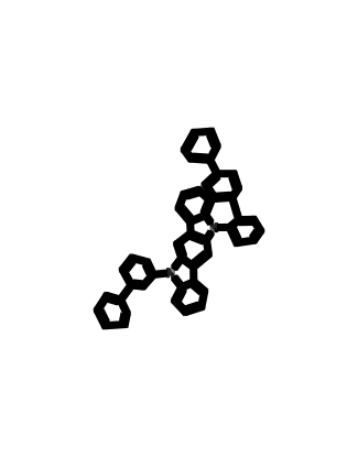 c1ccc(-c2ccc(-c3ccccc3-n3c4ccccc4c4cc5c(cc43)c3ccccc3n5-c3cccc(-c4ccccc4)c3)cc2)cc1